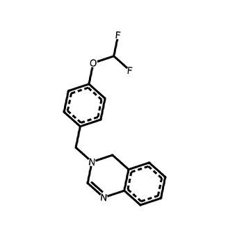 FC(F)Oc1ccc(CN2C=Nc3ccccc3C2)cc1